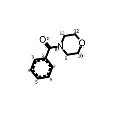 O=C(c1ccccc1)N1C[CH]OCC1